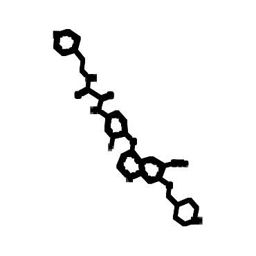 COc1cc2c(Oc3ccc(NC(=O)C(=O)NCCc4ccncc4)cc3F)ccnc2cc1OCC1CCNCC1